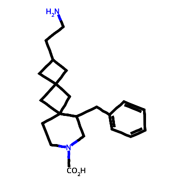 NCCC1CC2(C1)CC1(CCN(C(=O)O)CC1Cc1ccccc1)C2